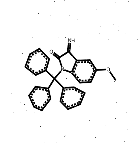 COc1ccc2c(c1)C(=N)C(=O)N2C(c1ccccc1)(c1ccccc1)c1ccccc1